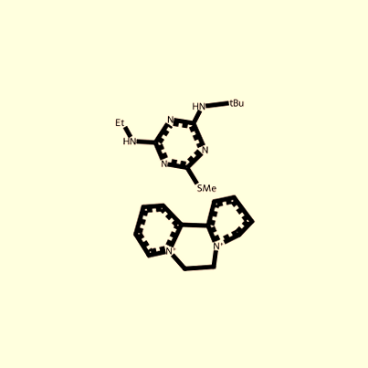 CCNc1nc(NC(C)(C)C)nc(SC)n1.c1cc[n+]2c(c1)-c1cccc[n+]1CC2